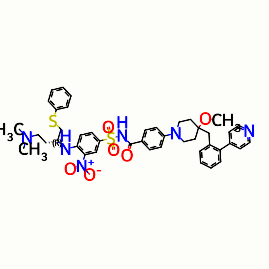 COC1(Cc2ccccc2-c2ccncc2)CCN(c2ccc(C(=O)NS(=O)(=O)c3ccc(N[C@H](CCN(C)C)CSc4ccccc4)c([N+](=O)[O-])c3)cc2)CC1